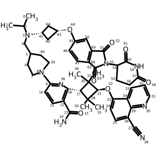 CC(C)N(CC1CCN(c2ccc(C(N)=O)c([C@H]3C(C)(C)[C@H](Oc4ccc(C#N)c5ncccc45)C3(C)C)n2)CC1)[C@H]1C[C@@H](Oc2ccc3c(c2)C(=O)N(C2CCC(=O)NC2=O)C3=O)C1